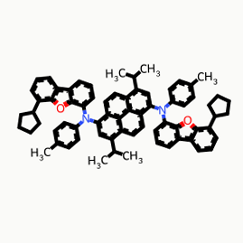 Cc1ccc(N(c2cc(C(C)C)c3ccc4c(N(c5ccc(C)cc5)c5cccc6c5oc5c(C7CCCC7)cccc56)cc(C(C)C)c5ccc2c3c54)c2cccc3c2oc2c(C4CCCC4)cccc23)cc1